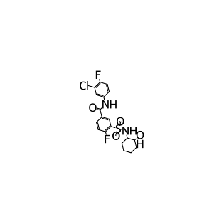 O=C(Nc1ccc(F)c(Cl)c1)c1ccc(F)c(S(=O)(=O)NC2CCCCC2O)c1